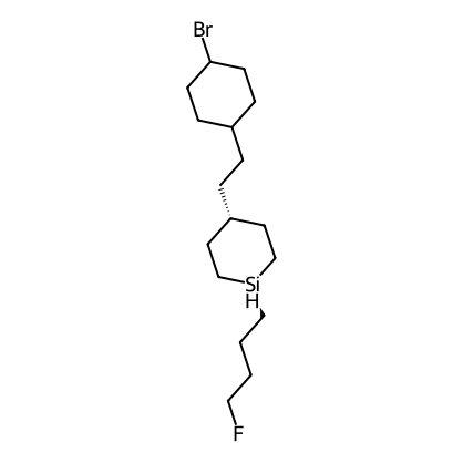 FCCCC[Si@H]1CC[C@H](CCC2CCC(Br)CC2)CC1